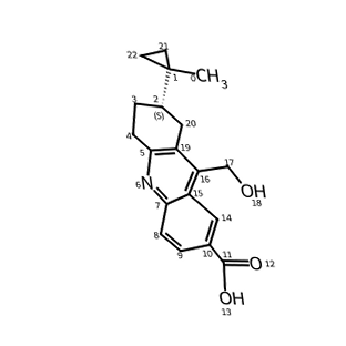 CC1([C@H]2CCc3nc4ccc(C(=O)O)cc4c(CO)c3C2)CC1